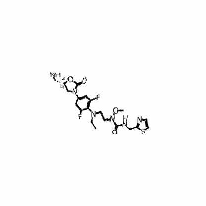 CCN(CCN(OC)C(=O)NCc1nccs1)c1c(F)cc(N2C[C@H](CN)OC2=O)cc1F